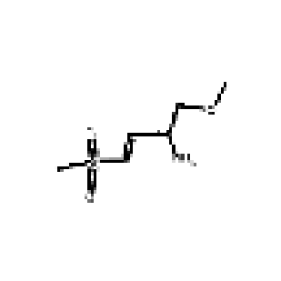 COCC(N)C=CS(C)(=O)=O